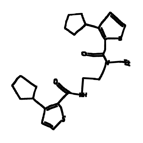 CCN(CCNC(=O)c1sccc1C1CCCC1)C(=O)c1sccc1C1CCCC1